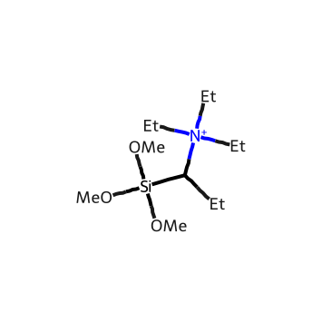 CCC([N+](CC)(CC)CC)[Si](OC)(OC)OC